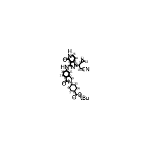 CC(C)(C)OC(=O)C1CCC(N2Cc3cc(Nc4nn(C(CC#N)C5CC5)c5cc[nH]c(=O)c45)ccc3C2=O)CC1